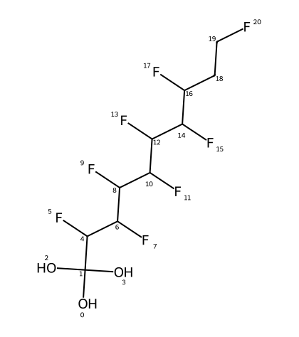 OC(O)(O)C(F)C(F)C(F)C(F)C(F)C(F)C(F)CCF